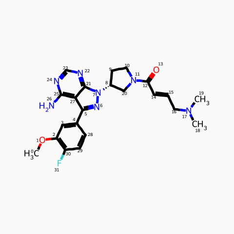 COc1cc(-c2nn([C@@H]3CCN(C(=O)/C=C/CN(C)C)C3)c3ncnc(N)c23)ccc1F